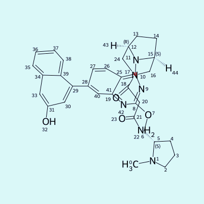 CN1CCC[C@H]1COc1nc(N2[C@@H]3CC[C@H]2CN(C(=O)CC(N)=O)C3)c2ccc(-c3cc(O)cc4ccccc34)cc2n1